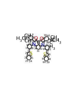 CC(C)(C)c1ccc2oc3c(c2c1)N(c1cccc(-c2cc4ccccc4s2)c1)c1cccc2c1B3c1oc3ccc(C(C)(C)C)cc3c1N2c1cccc(-c2cc3ccccc3s2)c1